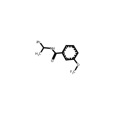 CC(C)C(C)NC(=O)c1cccc(OC(F)(F)F)c1